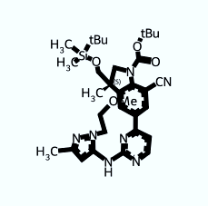 COCCn1nc(C)cc1Nc1nccc(-c2cc(C#N)c3c(c2)[C@](C)(CO[Si](C)(C)C(C)(C)C)CN3C(=O)OC(C)(C)C)n1